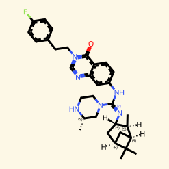 C[C@@H]1[C@@H](/N=C(/Nc2ccc3c(=O)n(CCc4ccc(F)cc4)cnc3c2)N2CCN[C@@H](C)C2)C[C@H]2C[C@@H]1C2(C)C